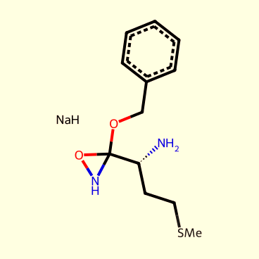 CSCC[C@@H](N)C1(OCc2ccccc2)NO1.[NaH]